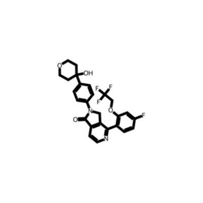 O=C1c2ccnc(-c3ccc(F)cc3OCC(F)(F)F)c2CN1c1ccc(C2(O)CCOCC2)cc1